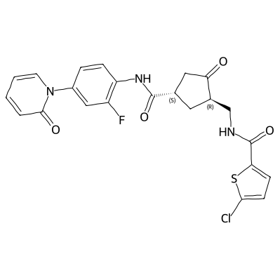 O=C(NC[C@H]1C[C@H](C(=O)Nc2ccc(-n3ccccc3=O)cc2F)CC1=O)c1ccc(Cl)s1